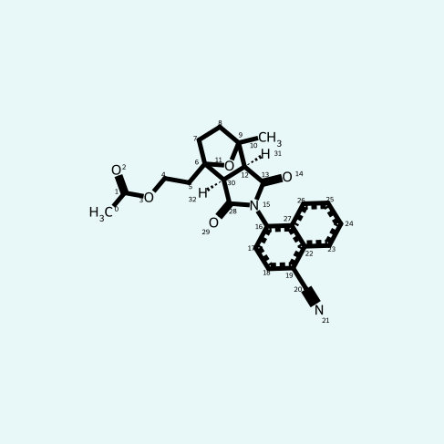 CC(=O)OCCC12CCC(C)(O1)[C@H]1C(=O)N(c3ccc(C#N)c4ccccc34)C(=O)[C@H]12